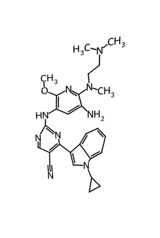 COc1nc(N(C)CCN(C)C)c(N)cc1Nc1ncc(C#N)c(-c2cn(C3CC3)c3ccccc23)n1